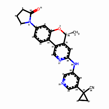 C[C@H]1Oc2cc(N3CCCC3=O)ccc2-c2cnc(Nc3cncc(C4(C#N)CC4)c3)cc21